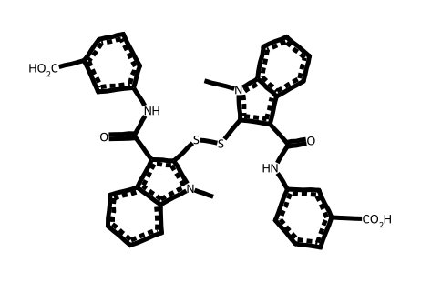 Cn1c(SSc2c(C(=O)Nc3cccc(C(=O)O)c3)c3ccccc3n2C)c(C(=O)Nc2cccc(C(=O)O)c2)c2ccccc21